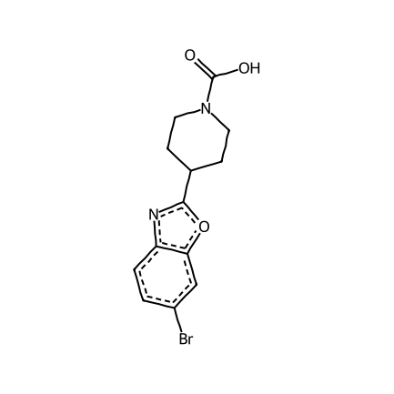 O=C(O)N1CCC(c2nc3ccc(Br)cc3o2)CC1